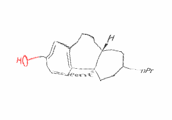 CCCCC[C@@]12CCC(CCC)C[C@H]1CCc1cc(O)ccc12